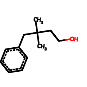 CC(C)(CCO)Cc1ccccc1